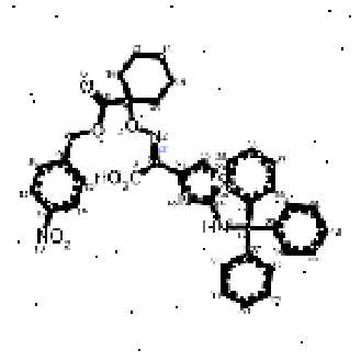 O=C(O)/C(=N\OC1(C(=O)OCc2ccc([N+](=O)[O-])cc2)CCCCC1)c1csc(NC(c2ccccc2)(c2ccccc2)c2ccccc2)n1